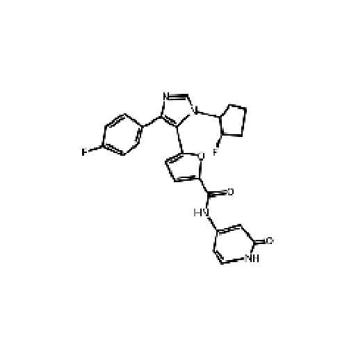 O=C(Nc1cc[nH]c(=O)c1)c1ccc(-c2c(-c3ccc(F)cc3)ncn2C2CCC[C@H]2F)o1